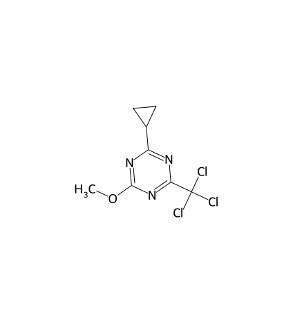 COc1nc(C2CC2)nc(C(Cl)(Cl)Cl)n1